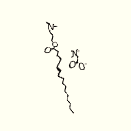 CCCCCCCCCCCCCCCC(=O)OCCCN(C)C.C[N+](C)(C)CC(=O)[O-]